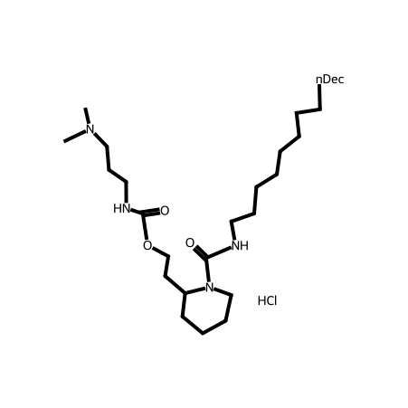 CCCCCCCCCCCCCCCCCCNC(=O)N1CCCCC1CCOC(=O)NCCCN(C)C.Cl